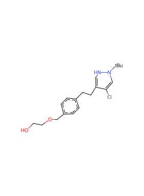 CC(C)(C)N1C=C(Cl)C(CCc2ccc(COCCO)cc2)=CN1